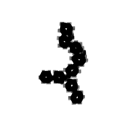 c1ccc(-c2ccc(N(c3ccc(-c4ccccc4)cc3)c3ccc(-c4ccc5oc6ccc(-c7cccc8c7sc7ccccc78)cc6c5c4)cc3)cc2)cc1